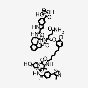 Cc1ncsc1-c1ccc([C@H](C)NC(=O)[C@@H]2C[C@@H](O)CN2C(=O)[C@@H](NC(=O)CCCCCc2ccc(Cl)c(OC[C@H](CCC(N)=O)NC(=O)[C@@H]3Cc4cccc5c4N3C(=O)[C@@H](NC(=O)c3cc4cc(C(=O)P(=O)(O)O)ccc4[nH]3)CC5)c2)C(C)(C)C)cc1